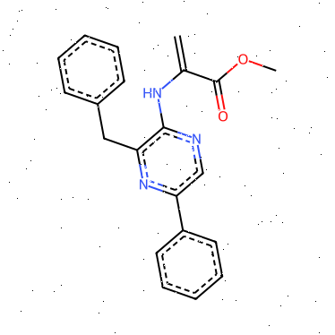 C=C(Nc1ncc(-c2ccccc2)nc1Cc1ccccc1)C(=O)OC